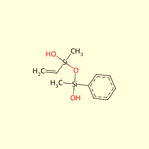 C=C[Si](C)(O)O[Si](C)(O)c1ccccc1